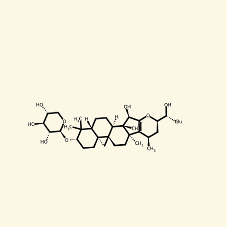 C[C@@H]1C[C@H]([C@H](O)C(C)(C)C)OC2=C1[C@@]1(C)CC[C@@]34C[C@@]35CC[C@H](O[C@@H]3OC[C@@H](O)[C@H](O)[C@H]3O)C(C)(C)[C@@H]5CC[C@H]4[C@]1(C)[C@H]2O